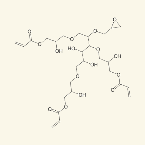 C=CC(=O)OCC(O)COCC(O)C(O)C(OCC(O)COC(=O)C=C)C(COCC(O)COC(=O)C=C)OCC1CO1